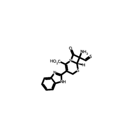 NC1(C=S)C(=O)N2C(C(=O)O)=C(c3nc4ccccc4[nH]3)CS[C@H]21